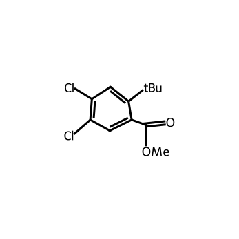 COC(=O)c1cc(Cl)c(Cl)cc1C(C)(C)C